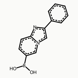 OB(O)c1ccc2nc(-c3ccccc3)cn2c1